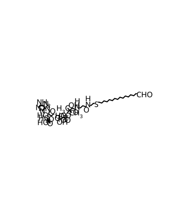 CC(C)(COP(=O)(O)OP(=O)(O)OC[C@H]1O[C@@H](n2cnc3c(N)ncnc32)[C@H](O)[C@@H]1OP(=O)(O)O)[C@@H](O)C(=O)NCCC(=O)NCCSCCCCCCCCCCCCCCCC=O